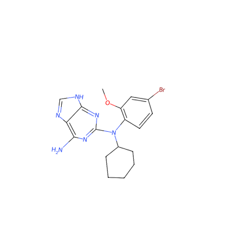 COc1cc(Br)ccc1N(c1nc(N)c2nc[nH]c2n1)C1CCCCC1